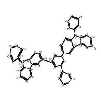 c1ccc(-c2cc(-c3ccc4c(c3)c3ccccc3n4-c3ccccc3)cc(-c3ccc4c(c3)c3ccccc3n4-c3ccccc3)c2)cc1